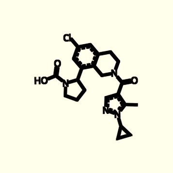 Cc1c(C(=O)N2CCc3cc(Cl)cc(C4CCCN4C(=O)O)c3C2)cnn1C1CC1